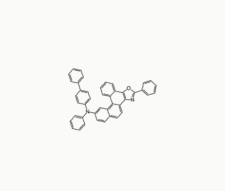 c1ccc(-c2ccc(N(c3ccccc3)c3ccc4ccc5c6nc(-c7ccccc7)oc6c6ccccc6c5c4c3)cc2)cc1